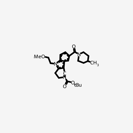 COCCn1c2c(c3cc(C(=O)N4CCC(C)CC4)ccc31)CN(C(=O)OC(C)(C)C)CC2